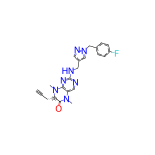 C#CC[C@H]1C(=O)N(C)c2cnc(NCc3cnn(Cc4ccc(F)cc4)c3)nc2N1C